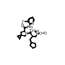 O=CN(O)CC(CC1CCCC1)C(=O)N1CC2(CC2)CC1C(=O)Nc1ncccc1F